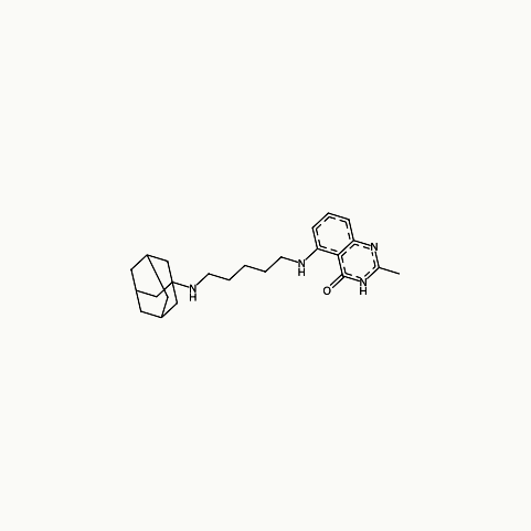 Cc1nc2cccc(NCCCCCNC34CC5CC(CC(C5)C3)C4)c2c(=O)[nH]1